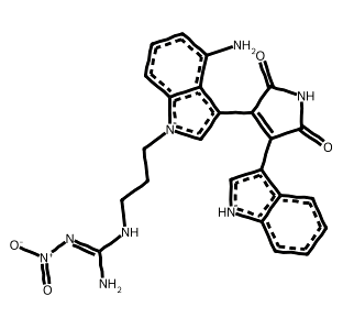 NC(=N[N+](=O)[O-])NCCCn1cc(C2=C(c3c[nH]c4ccccc34)C(=O)NC2=O)c2c(N)cccc21